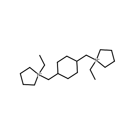 CC[N+]1(CC2CCC(C[N+]3(CC)CCCC3)CC2)CCCC1